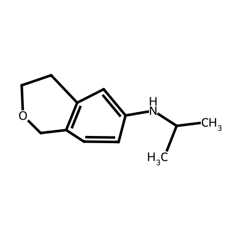 CC(C)Nc1ccc2c(c1)CCOC2